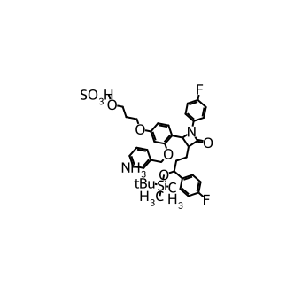 CC(C)(C)[Si](C)(C)OC(CCC1C(=O)N(c2ccc(F)cc2)C1c1ccc(OCCCOS(=O)(=O)O)cc1OCc1ccccc1)c1ccc(F)cc1.N